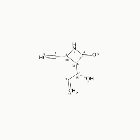 C#C[C@@H]1NC(=O)[C@@H]1[C@H](O)C=C